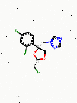 Fc1ccc([C@@]2(Cn3cncn3)CO[C@H](CBr)O2)c(F)c1